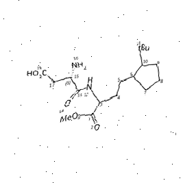 COC(=O)C(CCC1CCCC1C(C)(C)C)NC(=O)[C@@H](N)CC(=O)O